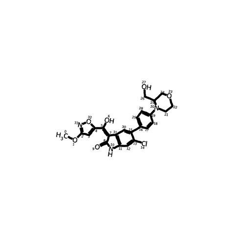 COc1cc(C(O)=C2C(=O)Nc3cc(Cl)c(-c4ccc(N5CCOCC5CO)cc4)cc32)on1